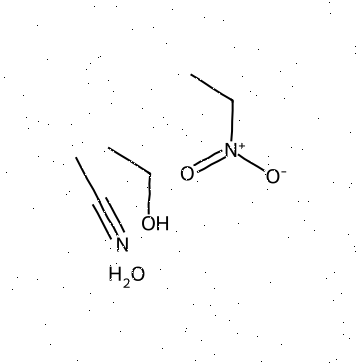 CC#N.CCO.CC[N+](=O)[O-].O